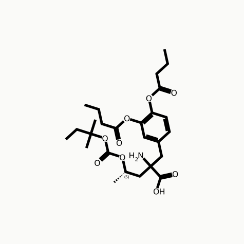 CCCC(=O)Oc1ccc(CC(N)(C[C@H](C)OC(=O)OC(C)(C)CC)C(=O)O)cc1OC(=O)CCC